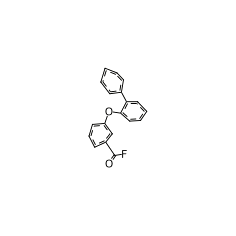 O=C(F)c1cccc(Oc2ccccc2-c2ccccc2)c1